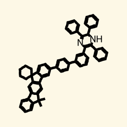 CC1(C)c2ccccc2-c2cc3c(cc21)-c1cc(-c2ccc(-c4cccc(C5=C(c6ccccc6)NC(c6ccccc6)C(c6ccccc6)=N5)c4)cc2)ccc1C31CCCCC1